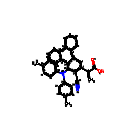 C=C(C(=O)O)c1cc2c3ccccc3c3ccccc3c2c(N(c2ccc(C)cc2)c2ccc(C)cc2)c1C#N